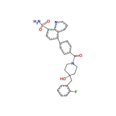 NS(=O)(=O)c1ccc(-c2ccc(C(=O)N3CCC(O)(Cc4ccccc4F)CC3)cc2)c2cccnc12